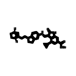 COC(=O)c1cc2c(c(C3CC3)c1)/C(=C/Nc1ccc3c(c1)CCN3CCN1C[C@H]3C[C@@H]1CO3)C(=O)N2